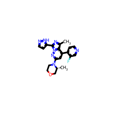 Cc1nc(-c2ccn[nH]2)n2nc(N3CCOC[C@H]3C)cc(-c3ccncc3F)c12